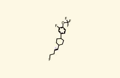 FCC/C=C/C1CCC(c2ccc(OC(F)(F)F)c(F)c2)CC1